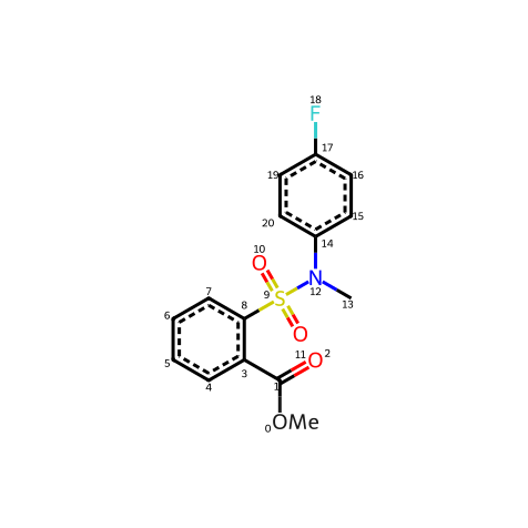 COC(=O)c1ccccc1S(=O)(=O)N(C)c1ccc(F)cc1